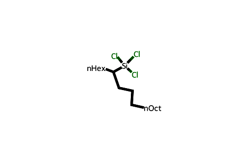 CCCCCCCCCCCC(CCCCCC)[Si](Cl)(Cl)Cl